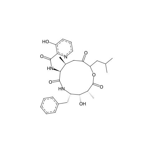 CC(C)CC1OC(=O)[C@H](C)[C@H](O)[C@H](Cc2ccccc2)NC(=O)[C@@H](NC(=O)c2ncccc2O)[C@@H](C)CC1=O